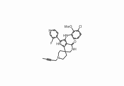 CC#CCN1CCC2(CC1)CNC(=O)c1c2[nH]c(-c2ccncc2F)c1Nc1cccc(Cl)c1OC